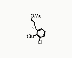 COCCOc1cccc(Cl)c1C(C)(C)C